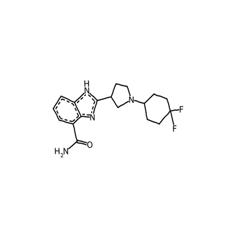 NC(=O)c1cccc2[nH]c(C3CCN(C4CCC(F)(F)CC4)C3)nc12